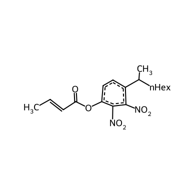 CC=CC(=O)Oc1ccc(C(C)CCCCCC)c([N+](=O)[O-])c1[N+](=O)[O-]